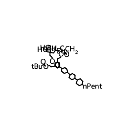 C=C(C)C(=O)OCCc1cc(C2CCC(C3CCC(C4CCC(CCCCC)CC4)CC3)CC2)cc(CCOC(=O)C(C)(C)C)c1OCCC(CO)(CO)CC(CC)CCCC